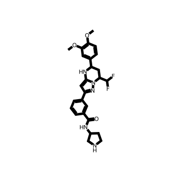 COc1ccc(C2CC(C(F)F)n3nc(-c4cccc(C(=O)NC5CCNC5)c4)cc3N2)cc1OC